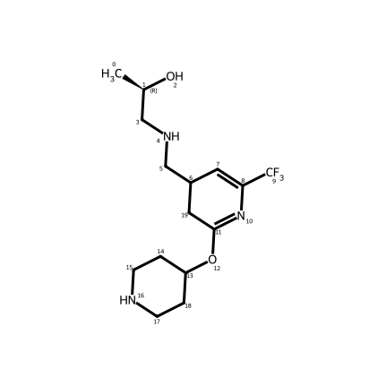 C[C@@H](O)CNCC1C=C(C(F)(F)F)N=C(OC2CCNCC2)C1